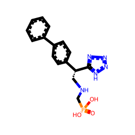 O=P(O)(O)CNC[C@H](c1ccc(-c2ccccc2)cc1)c1nnn[nH]1